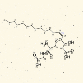 CCCCCCCCCCCC/C=C\C(SCC(N)C(=O)NCC(=O)O)C(O)CC(=O)O